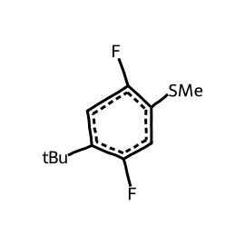 CSc1cc(F)c(C(C)(C)C)cc1F